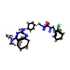 CN(C)c1nc(N[C@H]2CC[C@@H](CNC(=O)NCc3ccccc3Cl)CC2)nc2c1CCCC2